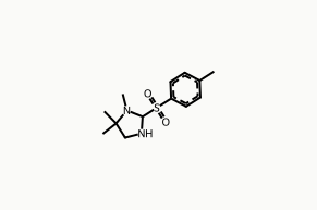 Cc1ccc(S(=O)(=O)C2NCC(C)(C)N2C)cc1